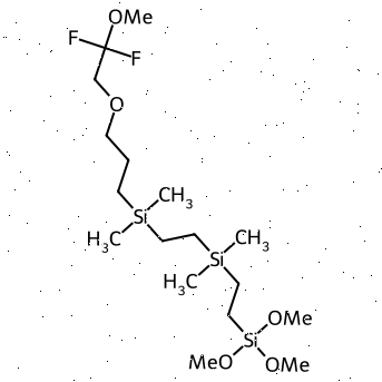 COC(F)(F)COCCC[Si](C)(C)CC[Si](C)(C)CC[Si](OC)(OC)OC